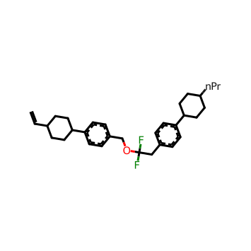 C=CC1CCC(c2ccc(COC(F)(F)Cc3ccc(C4CCC(CCC)CC4)cc3)cc2)CC1